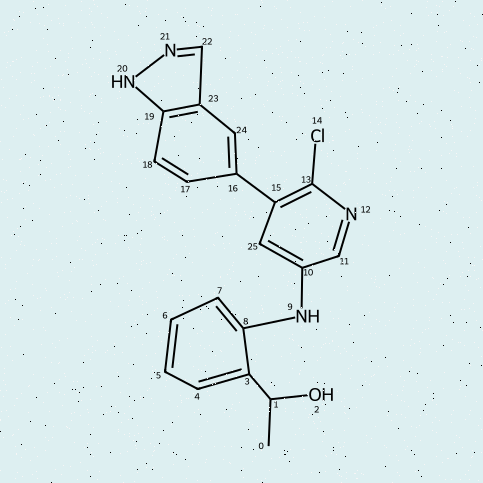 CC(O)c1ccccc1Nc1cnc(Cl)c(-c2ccc3[nH]ncc3c2)c1